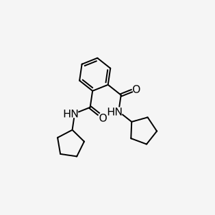 O=C(NC1CCCC1)c1ccccc1C(=O)NC1CCCC1